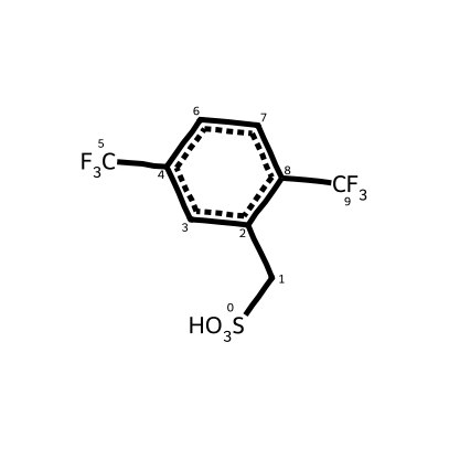 O=S(=O)(O)Cc1cc(C(F)(F)F)ccc1C(F)(F)F